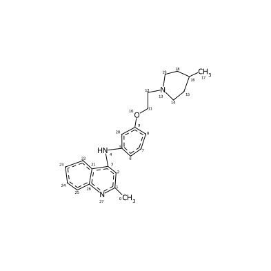 Cc1cc(Nc2cccc(OCCN3CCC(C)CC3)c2)c2ccccc2n1